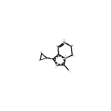 Ic1nc(C2CC2)c2n1CCN=C2